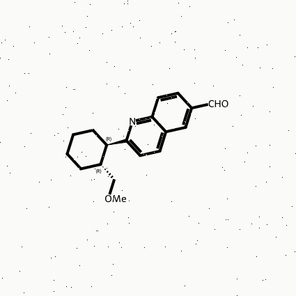 COC[C@@H]1CCCC[C@H]1c1ccc2cc(C=O)ccc2n1